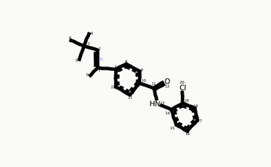 C/C(=C\C(C)(C)C)c1ccc(C(=O)Nc2ccccc2Cl)cc1